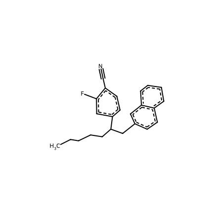 CCCCCC(Cc1ccc2ccccc2c1)c1ccc(C#N)c(F)c1